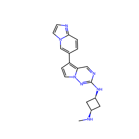 CN[C@H]1C[C@@H](Nc2ncc3c(-c4ccc5nccn5c4)ccn3n2)C1